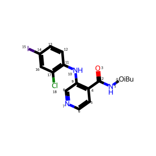 CC(C)CONC(=O)c1ccncc1Nc1ccc(I)cc1Cl